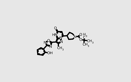 Cc1nn2c(C3CCN(C(=O)OC(C)(C)C)CC3)cc(=O)[nH]c2c1-c1nc(-c2ccccc2O)no1